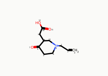 C=CCN1CCC(=O)C(CC(=O)O)C1